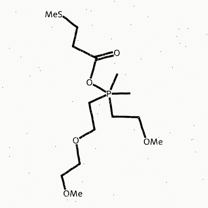 COCCOCCP(C)(C)(CCOC)OC(=O)CCSC